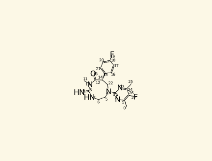 Cc1nc(N2CCNC(=N)N(C)C(=O)[C@@H](c3ccc(F)cc3)C2)nc(C)c1F